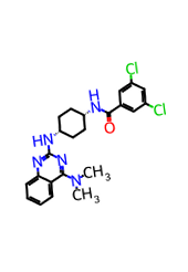 CN(C)c1nc(N[C@H]2CC[C@@H](NC(=O)c3cc(Cl)cc(Cl)c3)CC2)nc2ccccc12